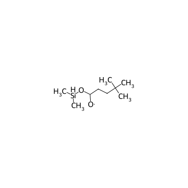 C[SiH](C)OC([O])CCC(C)(C)C